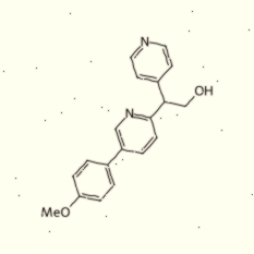 COc1ccc(-c2ccc(C(CO)c3ccncc3)nc2)cc1